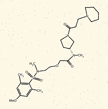 COc1cc(C)c(S(=O)(=O)N(C)CCOCC(=O)N(C)[C@@H]2CCN(C(=O)CCN3CCCCC3)C2)c(C)c1